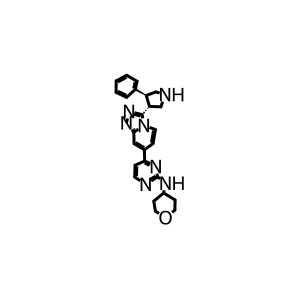 c1ccc([C@H]2CNC[C@@H]2c2nnc3cc(-c4ccnc(NC5CCOCC5)n4)ccn23)cc1